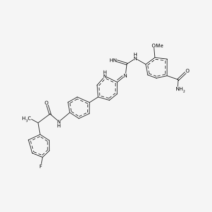 COc1cc(C(N)=O)ccc1NC(=N)/N=c1/ccc(-c2ccc(NC(=O)C(C)c3ccc(F)cc3)cc2)c[nH]1